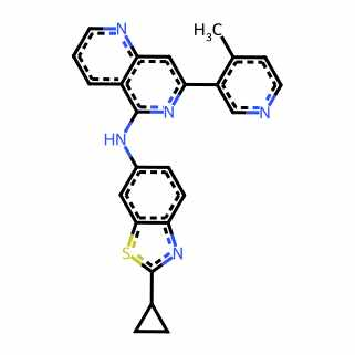 Cc1ccncc1-c1cc2ncccc2c(Nc2ccc3nc(C4CC4)sc3c2)n1